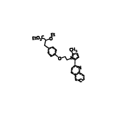 CCOC(=O)C(Cc1ccc(OCCn2c(C)ccc2-c2ccc3ccccc3n2)cc1)OCC